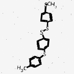 CSc1ccc(SSc2ccc(Sc3ccc(C)cc3)cc2)cc1